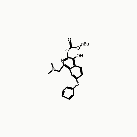 CCCCOC(=O)Oc1nc(CN(C)C)c2cc(Sc3ccccc3)ccc2c1O